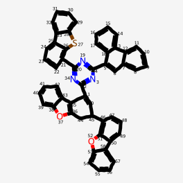 C1=C(c2nc(-c3cc4ccccc4c4ccccc34)nc(-c3cccc4c3sc3ccccc34)n2)c2c(oc3ccccc23)CC1c1cccc2c1oc1ccccc12